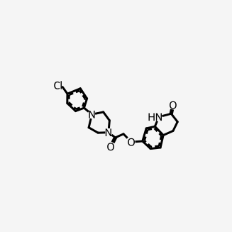 O=C1CCc2ccc(OCC(=O)N3CCN(c4ccc(Cl)cc4)CC3)cc2N1